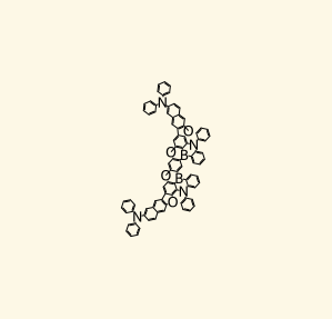 c1ccc(N(c2ccccc2)c2ccc3cc4oc5c6c7c(cc5c4cc3c2)Oc2cc3c(cc2B7c2ccccc2N6c2ccccc2)B2c4ccccc4N(c4ccccc4)c4c2c(cc2c4oc4cc5ccc(N(c6ccccc6)c6ccccc6)cc5cc42)O3)cc1